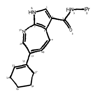 CC(C)NC(=O)c1c[nH]c2c1C=C=C(C1=CCCCC1)C=N2